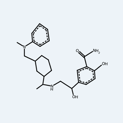 CC(NCC(O)c1ccc(O)c(C(N)=O)c1)C1CCCC(CN(C)c2ccccc2)C1